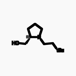 CC(C)(C)CCN1CCC[C@H]1CO